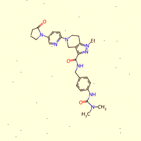 CCn1nc(C(=O)NCc2ccc(NC(=O)N(C)C)cc2)c2c1CCN(c1ccc(N3CCCC3=O)cn1)C2